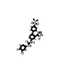 CN(C)S(=O)(=O)c1ccc(-c2ccc(NC(=O)Nc3ccc(F)c(Cl)c3)cc2-c2nnn[nH]2)cc1